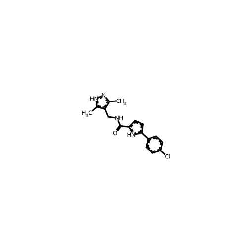 Cc1n[nH]c(C)c1CNC(=O)c1ccc(-c2ccc(Cl)cc2)[nH]1